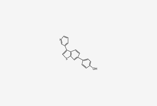 Oc1ccc(-c2ccc3c(-c4cccnc4)csc3c2)cc1